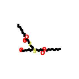 CCCCCCCCOC(=O)CCCSC(CCCCC=O)CCSCCC(=O)OCCCCCCCC